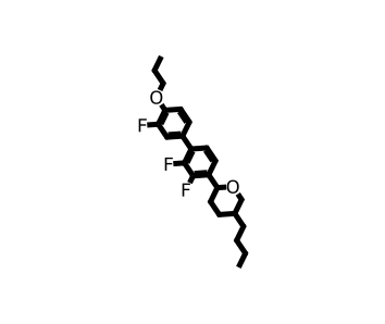 CCCCC1CCC(c2ccc(-c3ccc(OCCC)c(F)c3)c(F)c2F)OC1